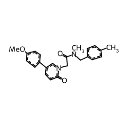 COc1ccc(-c2ccc(=O)n(CC(=O)N(C)Cc3ccc(C)cc3)c2)cc1